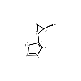 CC(C)[C@@H]1C[C@@H]1c1nnc[nH]1